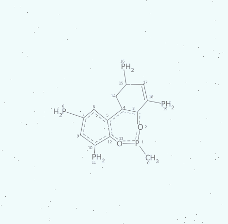 Cp1oc2c(c3cc(P)cc(P)c3o1)CC(P)C=C2P